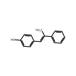 O=C(O)/C(=C\c1ccc(O)cc1)c1ccccc1